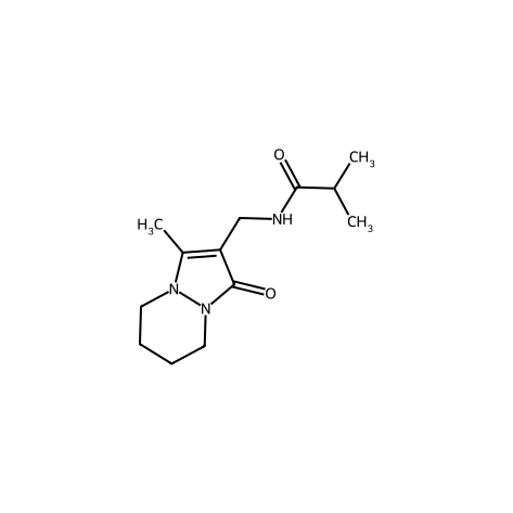 Cc1c(CNC(=O)C(C)C)c(=O)n2n1CCCC2